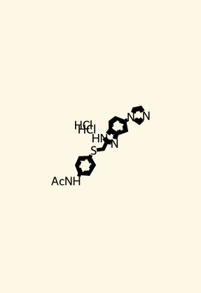 CC(=O)Nc1ccc(SCc2nc3cc(-n4ccnc4)ccc3[nH]2)cc1.Cl.Cl